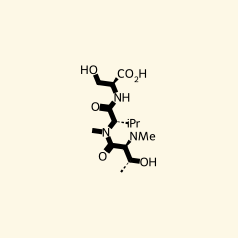 CN[C@H](C(=O)N(C)[C@H](C(=O)N[C@@H](CO)C(=O)O)C(C)C)[C@@H](C)O